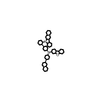 c1ccc(-n2c3ccccc3c3cc4ccccc4cc32)c(-c2ccc(N(c3ccc(-c4ccc5ccccc5c4)cc3)c3ccc4c(c3)oc3ccccc34)cc2)c1